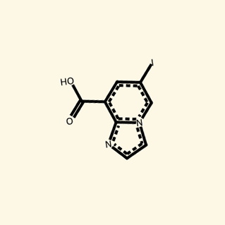 O=C(O)c1cc(I)cn2ccnc12